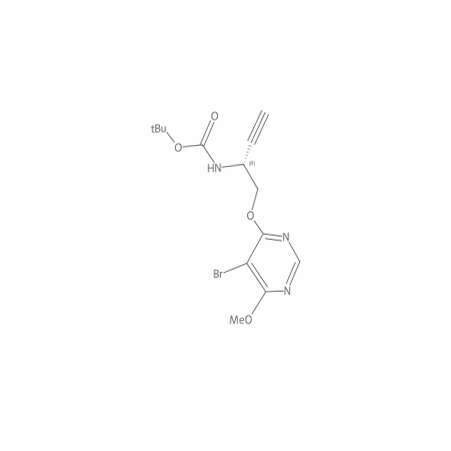 C#C[C@H](COc1ncnc(OC)c1Br)NC(=O)OC(C)(C)C